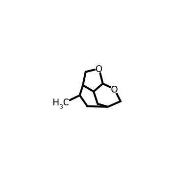 CC1CC2COC3OCC1C3C2